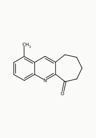 Cc1cccc2nc3c(cc12)CCCCC3=O